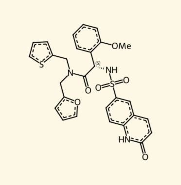 COc1ccccc1[C@H](NS(=O)(=O)c1ccc2[nH]c(=O)ccc2c1)C(=O)N(Cc1ccco1)Cc1cccs1